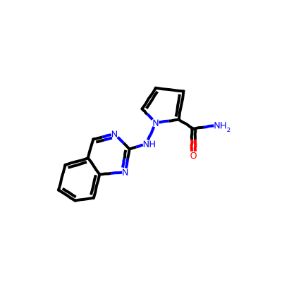 NC(=O)c1cccn1Nc1ncc2ccccc2n1